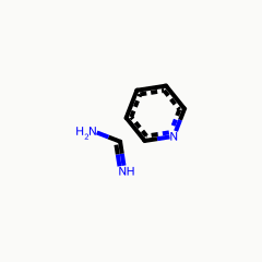 N=CN.c1ccncc1